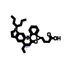 CCCC(CCC)n1ccc2cc(/C(=C\C(=O)Nc3ccccc3OCCCC(=O)O)CC)ccc21